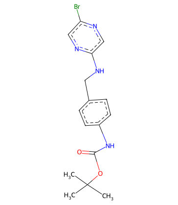 CC(C)(C)OC(=O)Nc1ccc(CNc2cnc(Br)cn2)cc1